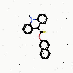 CN1c2ccccc2C(C(=S)Oc2ccc3ccccc3c2)c2ccccc21